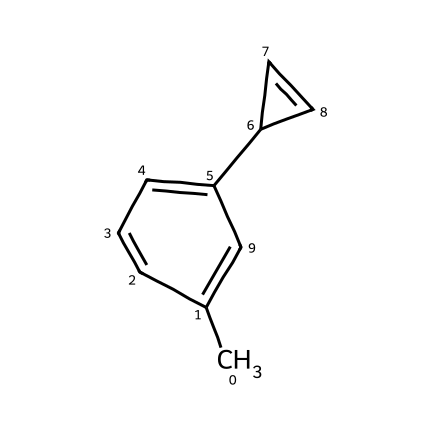 Cc1cccc(C2C=C2)c1